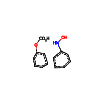 O=C(O)Oc1ccccc1.ONc1ccccc1